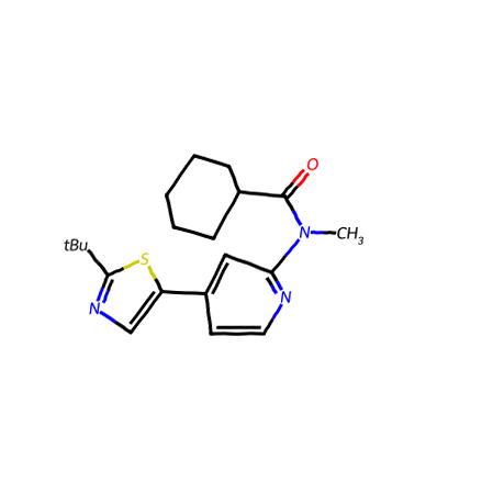 CN(C(=O)C1CCCCC1)c1cc(-c2cnc(C(C)(C)C)s2)ccn1